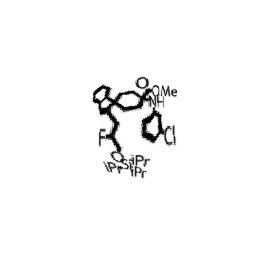 COC(=O)C1(Nc2cccc(Cl)c2)CCC2(CC1)C(CC(F)CO[Si](C(C)C)(C(C)C)C(C)C)=Cc1ccccc12